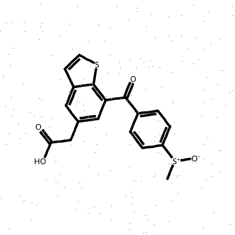 C[S+]([O-])c1ccc(C(=O)c2cc(CC(=O)O)cc3ccsc23)cc1